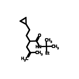 C=C(C)CC(CCC1CC1)C(=O)NC(C)(C)CC